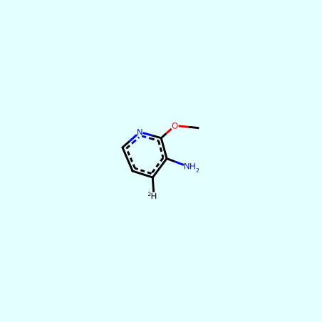 [2H]c1ccnc(OC)c1N